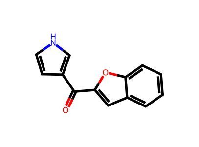 O=C(c1cc[nH]c1)c1cc2ccccc2o1